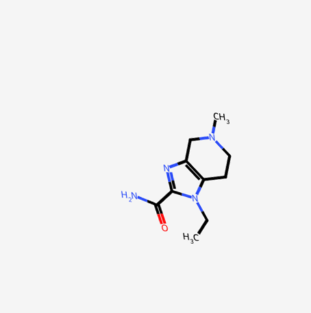 CCn1c(C(N)=O)nc2c1CCN(C)C2